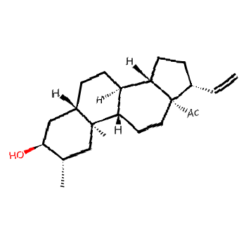 C=C[C@H]1CC[C@H]2[C@@H]3CC[C@H]4C[C@H](O)[C@@H](C)C[C@]4(C)[C@H]3CC[C@]12C(C)=O